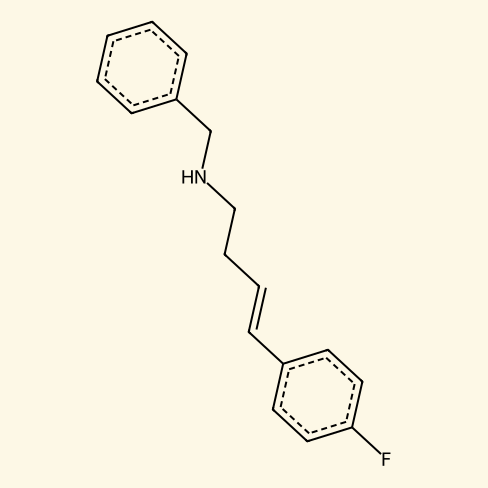 Fc1ccc(/C=C/CCNCc2ccccc2)cc1